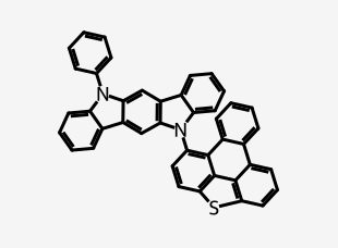 c1ccc(-n2c3ccccc3c3cc4c(cc32)c2ccccc2n4-c2ccc3sc4cccc5c6ccccc6c2c3c45)cc1